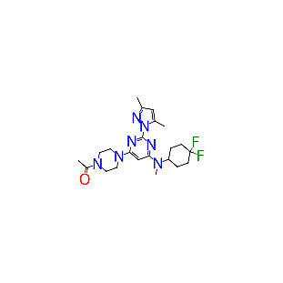 CC(=O)N1CCN(c2cc(N(C)C3CCC(F)(F)CC3)nc(-n3nc(C)cc3C)n2)CC1